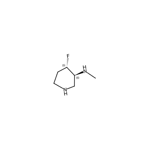 CN[C@H]1CNCC[C@@H]1F